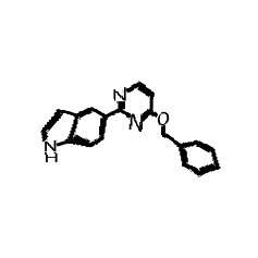 c1ccc(COc2ccnc(-c3ccc4[nH]ccc4c3)n2)cc1